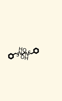 O=C(NSCc1ccccc1)C(=O)NSCc1ccccc1